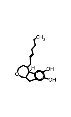 CCCCC=CCC1CCOCC2Cc3cc(O)c(O)cc3[C@H]12